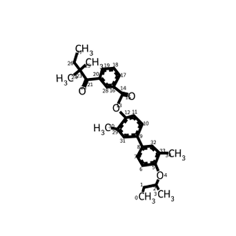 CCC(C)Oc1ccc(-c2ccc(OC(=O)c3cccc(C(=O)C(C)(C)CC)c3)c(C)c2)cc1C